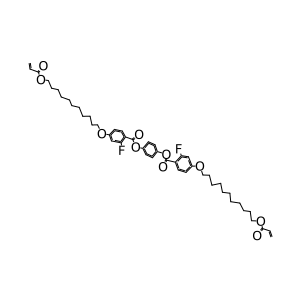 C=CC(=O)OCCCCCCCCCCCOc1ccc(C(=O)Oc2ccc(OC(=O)c3ccc(OCCCCCCCCCCCOC(=O)C=C)cc3F)cc2)c(F)c1